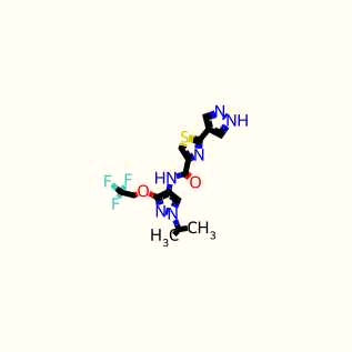 CC(C)n1cc(NC(=O)c2csc(-c3cn[nH]c3)n2)c(OCC(F)(F)F)n1